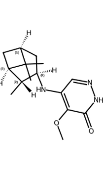 COc1c(N[C@@H]2C[C@@H]3C[C@H]([C@H]2C)C3(C)C)cn[nH]c1=O